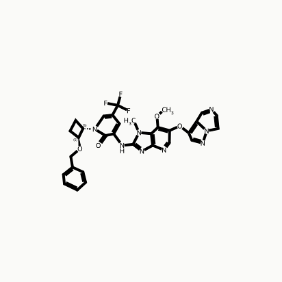 COc1c(Oc2cnn3ccncc23)cnc2nc(Nc3cc(C(F)(F)F)cn([C@H]4CC[C@@H]4OCc4ccccc4)c3=O)n(C)c12